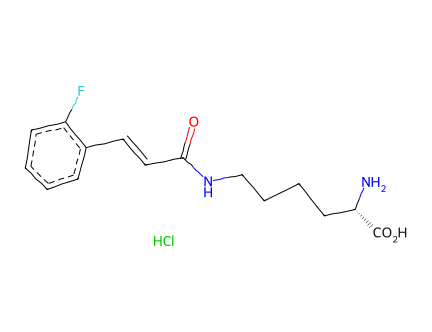 Cl.N[C@@H](CCCCNC(=O)C=Cc1ccccc1F)C(=O)O